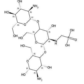 N[C@H]1[C@H](OC2[C@@H](CO)O[C@@H](OC3[C@@H](CO)O[C@@H](O)[C@H](N)[C@H]3O)[C@H](NCP(=O)(O)O)[C@H]2O)O[C@H](CO)[C@@H](O)[C@@H]1O